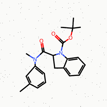 Cc1cccc(N(C)C(=O)C2Cc3ccccc3N2C(=O)OC(C)(C)C)c1